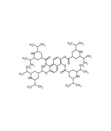 CC(C)C1CC(C(=O)Oc2ccc3c(OC(=O)C4CC(C(C)C)NC(C(C)C)C4)c(OC(O)C4CC(C(C)C)NC(C(C)C)C4)ccc3c2OC(=O)C2CC(C(C)C)NC(C(C)C)C2)CC(C(C)C)N1